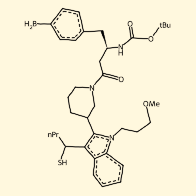 Bc1ccc(C[C@H](CC(=O)N2CCCC(c3c(C(S)CCC)c4ccccc4n3CCCOC)C2)NC(=O)OC(C)(C)C)cc1